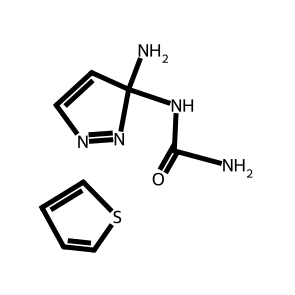 NC(=O)NC1(N)C=CN=N1.c1ccsc1